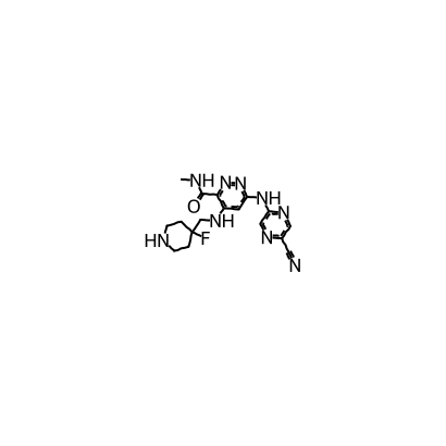 CNC(=O)c1nnc(Nc2cnc(C#N)cn2)cc1NCC1(F)CCNCC1